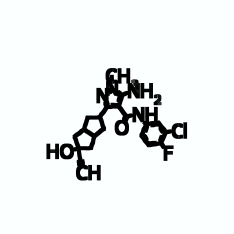 C#CC1(O)CC2CC(c3nn(C)c(N)c3C(=O)Nc3ccc(F)c(Cl)c3)CC2C1